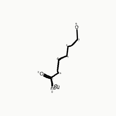 CCCCC(=O)CCCCC[O]